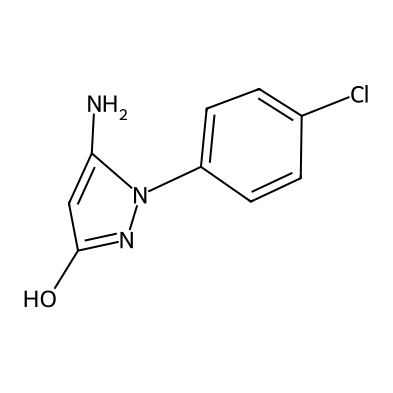 Nc1cc(O)nn1-c1ccc(Cl)cc1